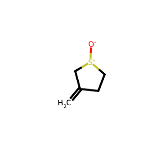 C=C1CC[S+]([O-])C1